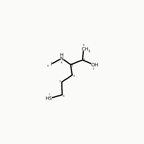 CC(O)C(CCCS)NI